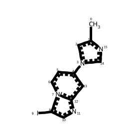 Cc1cn(-c2ccn3c(I)cnc3c2)cn1